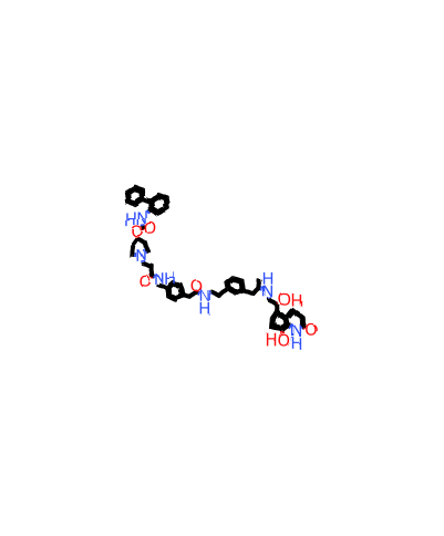 CC(Cc1cccc(CCNC(=O)Cc2ccc(CNC(=O)CCN3CCC(OC(=O)Nc4ccccc4-c4ccccc4)CC3)cc2)c1)NCC(O)c1ccc(O)c2[nH]c(=O)ccc12